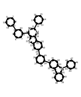 c1ccc(-c2cccc(-c3nc(-c4ccccc4)nc4c3sc3cc(-c5cccc(-c6ccc7c(c6)c6ccccc6n7-c6ccccc6)c5)ccc34)c2)cc1